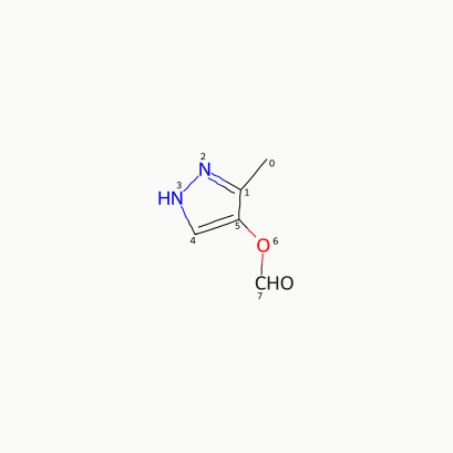 Cc1n[nH]cc1OC=O